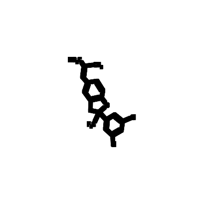 C/C(=C\c1ccc2c(c1)CC(c1cc(Cl)cc(Cl)c1)(C(F)(F)F)O2)C(=O)O